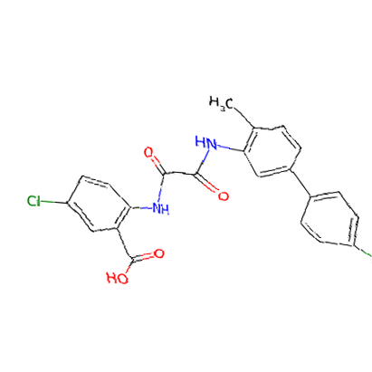 Cc1ccc(-c2ccc(F)cc2)cc1NC(=O)C(=O)Nc1ccc(Cl)cc1C(=O)O